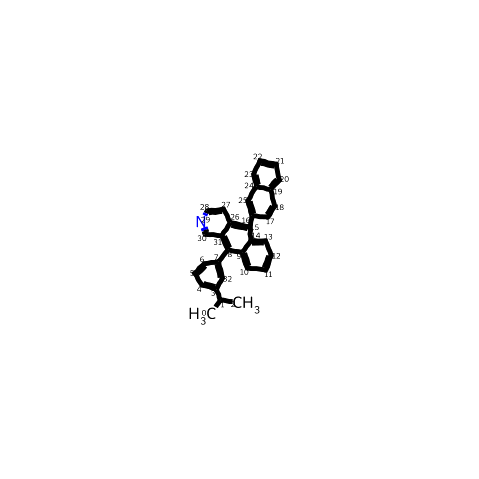 CC(C)c1cccc(-c2c3ccccc3c(-c3ccc4ccccc4c3)c3ccncc23)c1